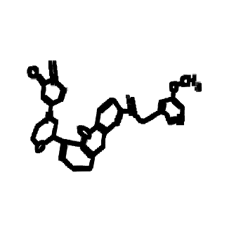 COc1cncc(CNc2ccc3c(c2)Cc2cccc(C4CN(c5cc[nH]c(=O)c5)CCO4)c2O3)c1